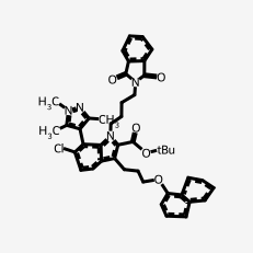 Cc1nn(C)c(C)c1-c1c(Cl)ccc2c(CCCOc3cccc4ccccc34)c(C(=O)OC(C)(C)C)n(CCCCN3C(=O)c4ccccc4C3=O)c12